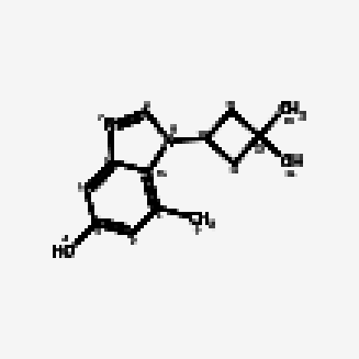 Cc1cc(O)cc2ncn(C3CC(C)(O)C3)c12